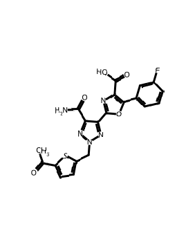 CC(=O)c1ccc(Cn2nc(C(N)=O)c(-c3nc(C(=O)O)c(-c4cccc(F)c4)o3)n2)s1